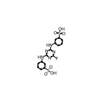 O=S(=O)(O)c1[c]ccc(Nc2nc(F)nc(Nc3cccc(S(=O)(=O)O)c3)n2)c1